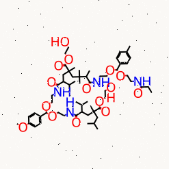 CCC(=O)NCCOC(OCCNC(=O)C(C)C(C)(C)CC(C)(CC(C(=O)NCCOC(OCCNC(=O)C(CC(C)(CC(C)C)C(=O)OCCO)C(C)C)c1ccc(OC)cc1)C(C)C)C(=O)OCCO)c1ccc(C)cc1